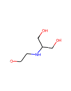 [O]CCNC(CO)CO